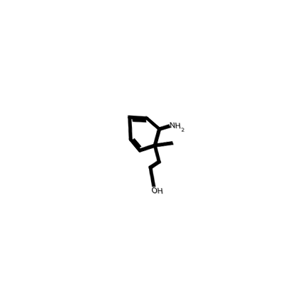 CC1(CCO)C=CC=CC1N